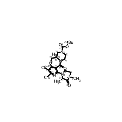 C[C@H]1C(=O)N(C)CCN1c1nc(Cl)c(Cl)c2c1C(=O)N1CCN(C(=O)OC(C)(C)C)C[C@@H]1CO2